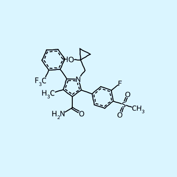 Cc1c(C(N)=O)c(-c2ccc(S(C)(=O)=O)c(F)c2)n(CC2(O)CC2)c1-c1ccccc1C(F)(F)F